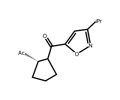 CC(=O)[C@H]1CCCC1C(=O)c1cc(C(C)C)no1